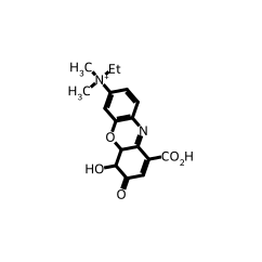 CC[N+](C)(C)c1ccc2c(c1)OC1C(=N2)C(C(=O)O)=CC(=O)C1O